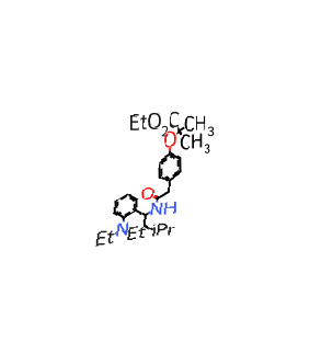 CCOC(=O)C(C)(C)Oc1ccc(CC(=O)NC(CC(C)C)c2ccccc2N(CC)CC)cc1